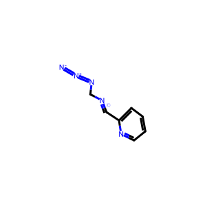 [N-]=[N+]=NC/N=C/c1ccccn1